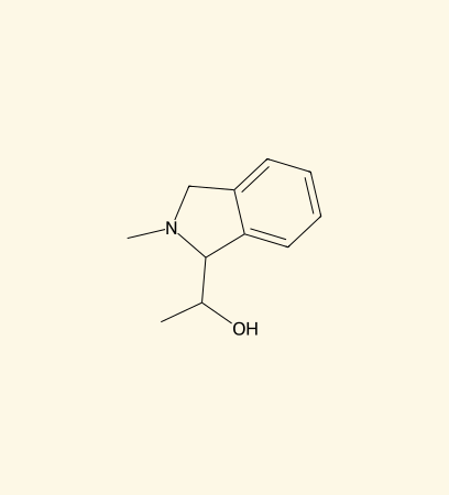 CC(O)C1c2ccccc2CN1C